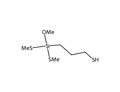 CO[Si](CCCS)(SC)SC